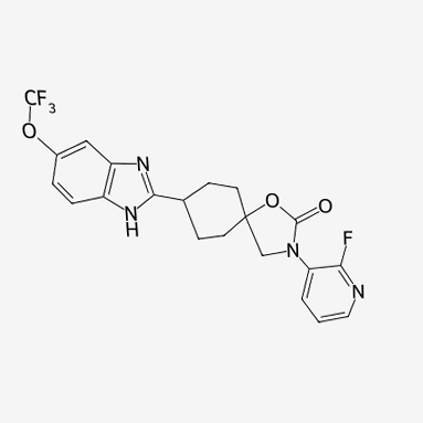 O=C1OC2(CCC(c3nc4cc(OC(F)(F)F)ccc4[nH]3)CC2)CN1c1cccnc1F